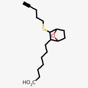 C#CCCCSC1C2CCC(O2)C1CCCCCCC(=O)O